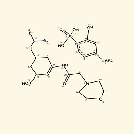 CC(=O)Nc1ccc([As](=O)(O)O)c(O)c1.CCC(CC)OC1CC(NC(=O)CN2CCOCC2)=CC(C(=O)O)C1